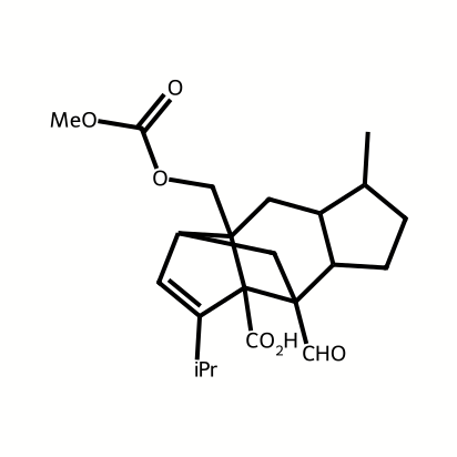 COC(=O)OCC12CC3C(C)CCC3C3(C=O)CC1C=C(C(C)C)C32C(=O)O